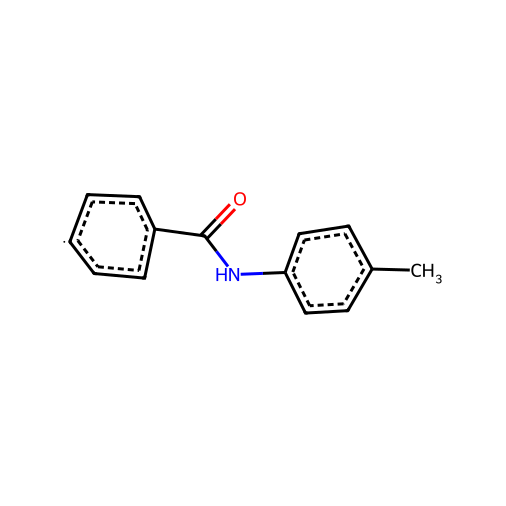 Cc1ccc(NC(=O)c2cc[c]cc2)cc1